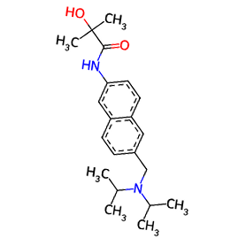 CC(C)N(Cc1ccc2cc(NC(=O)C(C)(C)O)ccc2c1)C(C)C